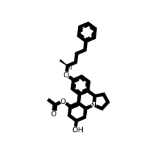 CC(=O)OC1=C2c3cc(O[C@@H](C)CCCc4ccccc4)ccc3C3CCCN3C2CC(O)C1